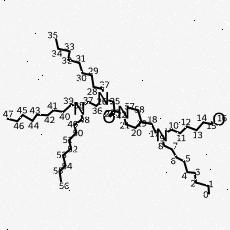 CCCCCCCCCN(CCCCCC=O)CCC1CCN(C(=O)CN(CCCCCCCCC)CCN(CCCCCCCCC)CCCCCCCCC)CC1